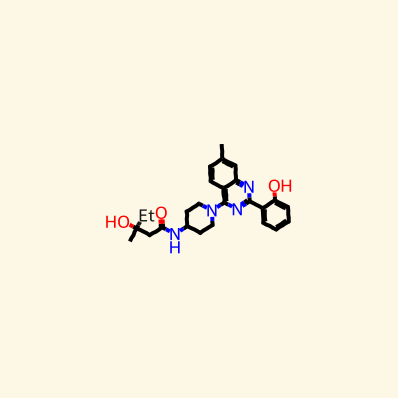 CCC(C)(O)CC(=O)NC1CCN(c2nc(-c3ccccc3O)nc3cc(C)ccc23)CC1